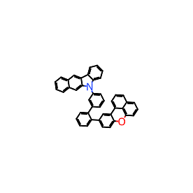 c1cc(-c2ccccc2-c2ccc3c(c2)-c2cccc4cccc(c24)O3)cc(-n2c3ccccc3c3cc4ccccc4cc32)c1